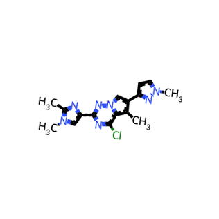 Cc1c(-c2ccn(C)n2)cn2nc(-c3cn(C)c(C)n3)nc(Cl)c12